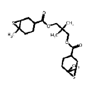 CC(C)(COC(=O)C1CCC2(C)SC2C1)COC(=O)C1CCC2(C)SC2C1